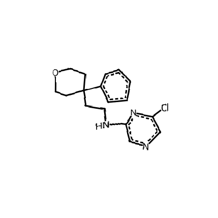 Clc1cncc(NCCC2(c3ccccc3)CCOCC2)n1